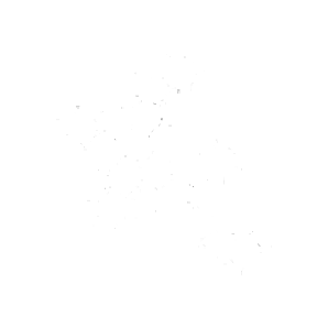 Cc1c(N(c2ccccc2)c2ccc3oc4ccccc4c3c2)ccc2c(N(c3ccccc3)c3ccc4c(c3)sc3ccccc34)cc3ccccc3c12